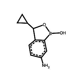 Nc1ccc2c(c1)B(O)OC2C1CC1